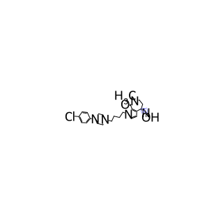 CN1CC/C(=N/O)c2ccn(CCCCN3CCN(c4ccc(Cl)cc4)CC3)c2C1=O